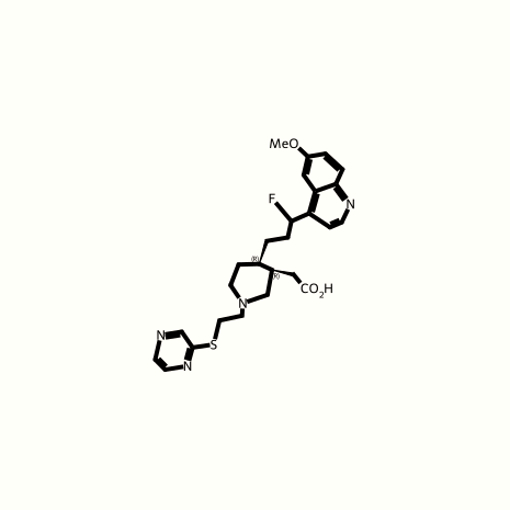 COc1ccc2nccc(C(F)CC[C@@H]3CCN(CCSc4cnccn4)C[C@@H]3CC(=O)O)c2c1